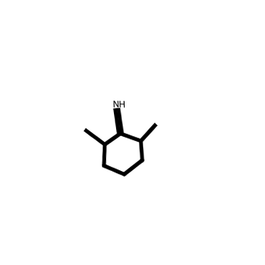 CC1CCCC(C)C1=N